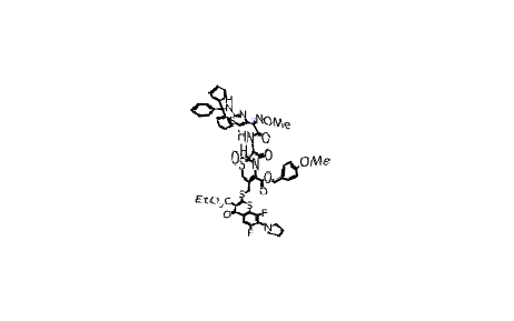 CCOC(=O)c1c(SCC2=C(C(=O)OCc3ccc(OC)cc3)N3C(=O)C(NC(=O)/C(=N\OC)c4csc(NC(c5ccccc5)(c5ccccc5)c5ccccc5)n4)[C@@H]3[S+]([O-])C2)sc2c(F)c(N3CCCC3)c(F)cc2c1=O